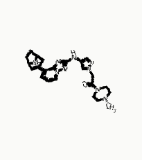 CN1CCN(C(=O)Cn2cc(Nc3nc4c(C5=CC6CCC(C5)N6)cccn4n3)cn2)CC1